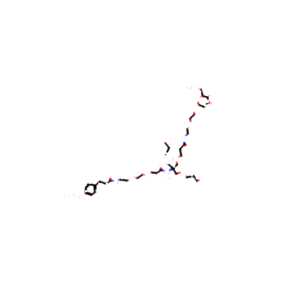 BOc1ccc(CCC(=O)NCCOCCOCCC(=O)NC(COCCC=O)(COCCC=O)COCCC(=O)NCCOCCOC2CC(O)C(O)C(CO)O2)cc1